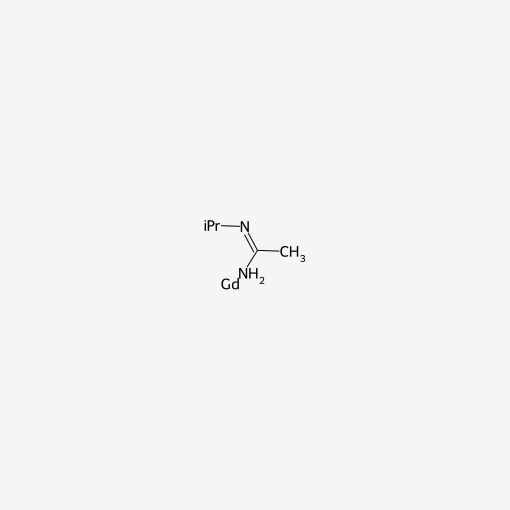 CC(N)=NC(C)C.[Gd]